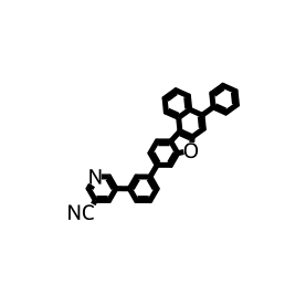 N#Cc1cncc(-c2cccc(-c3ccc4c(c3)oc3cc(-c5ccccc5)c5ccccc5c34)c2)c1